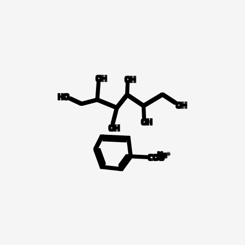 O=C([O-])c1ccccc1.OCC(O)C(O)C(O)C(O)CO.[Na+]